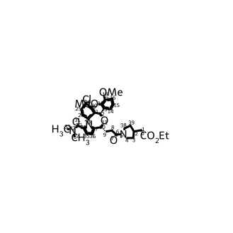 CCOC(=O)CC1CCN(C(=O)CC[C@H]2O[C@H](c3cccc(OC)c3OC)c3cc(Cl)ccc3-n3c(C(=O)N(C)C)ccc32)CC1